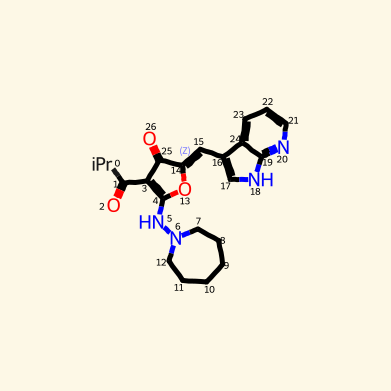 CC(C)C(=O)C1=C(NN2CCCCCC2)O/C(=C\c2c[nH]c3ncccc23)C1=O